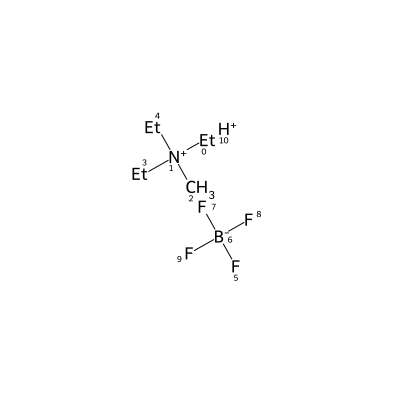 CC[N+](C)(CC)CC.F[B-](F)(F)F.[H+]